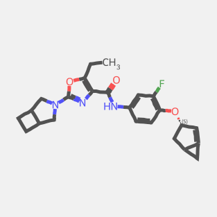 CCc1oc(N2CC3CCC3C2)nc1C(=O)Nc1ccc(O[C@@H]2C=C3CC3C2)c(F)c1